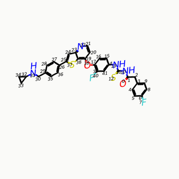 O=C(Cc1ccc(F)cc1)NC(=S)Nc1ccc(Oc2ccnc3cc(-c4ccc(CNC5CC5)cc4)sc23)c(F)c1